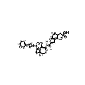 O=C(N[C@H]1CCC[C@H]2CC[C@@H](C(=O)N3CC(C4=CCCOC4)C3)N2C1=O)c1cc2cc(CP(=O)(O)O)ccc2s1